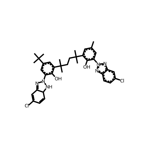 Cc1cc(-n2nc3ccc(Cl)cc3n2)c(O)c(C(C)(C)CCC(C)(C)c2cc(C(C)(C)C)cc(N3N=C4C=C(Cl)C=CC4N3)c2O)c1